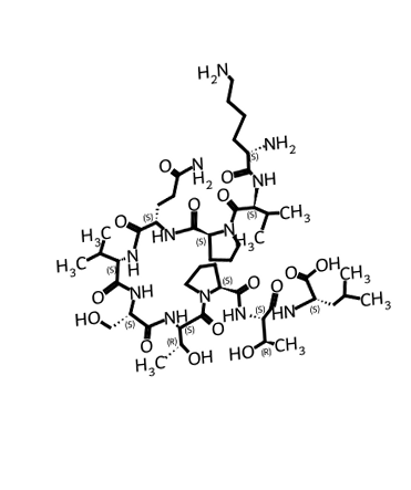 CC(C)C[C@H](NC(=O)[C@@H](NC(=O)[C@@H]1CCCN1C(=O)[C@@H](NC(=O)[C@H](CO)NC(=O)[C@@H](NC(=O)[C@H](CCC(N)=O)NC(=O)[C@@H]1CCCN1C(=O)[C@@H](NC(=O)[C@@H](N)CCCCN)C(C)C)C(C)C)[C@@H](C)O)[C@@H](C)O)C(=O)O